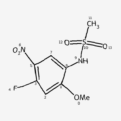 COc1cc(F)c([N+](=O)[O-])cc1NS(C)(=O)=O